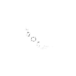 CN1CC(CS(=O)(=O)NC(=O)c2ccc(-c3noc(C(F)(F)F)n3)cc2)C1